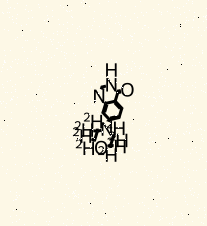 [2H]C1([2H])OC([2H])([2H])C([2H])([2H])N(c2ccc3c(=O)[nH]cnc3c2)C1([2H])[2H]